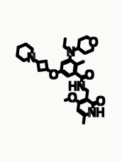 CCN(c1cc(OC2CC(N3CCCCC3)C2)cc(C(=O)NCc2c(OC)cc(C)[nH]c2=O)c1C)C1CCOCC1